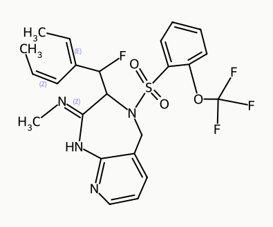 C/C=C\C(=C/C)C(F)C1/C(=N/C)Nc2ncccc2CN1S(=O)(=O)c1ccccc1OC(F)(F)F